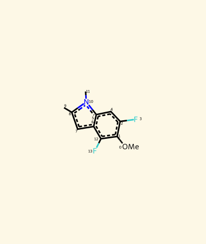 COc1c(F)cc2c(cc(C)n2C)c1F